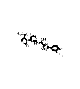 Cc1cc(-c2noc([C@H](C)Nc3nccc(N4C(=O)OCC4[C@@H](C)O)n3)n2)ccc1Cl